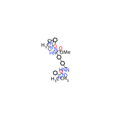 COC(=O)c1nc([C@@H]2CCCN2C(=O)[C@@H](c2ccccc2)N(C)C)[nH]c1-c1ccc(-c2ccc(-c3cnc([C@@H]4CCCN4C(=O)[C@@H](c4ccccc4)N(C)C)[nH]3)cc2)cc1